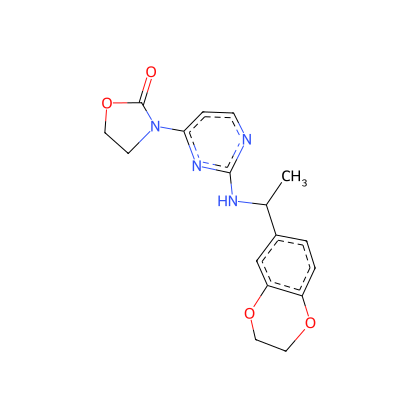 CC(Nc1nccc(N2CCOC2=O)n1)c1ccc2c(c1)OCCO2